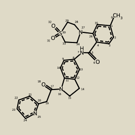 Cc1ccc(C(=O)Nc2ccc3c(c2)CCN3C(=O)Cc2ccccn2)c(N2CCS(=O)(=O)CC2)c1